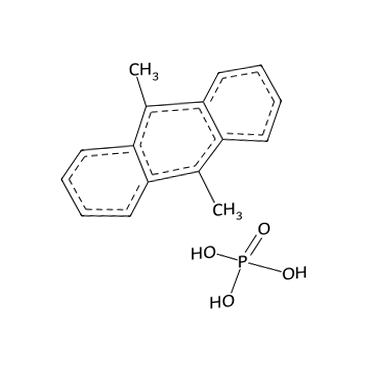 Cc1c2ccccc2c(C)c2ccccc12.O=P(O)(O)O